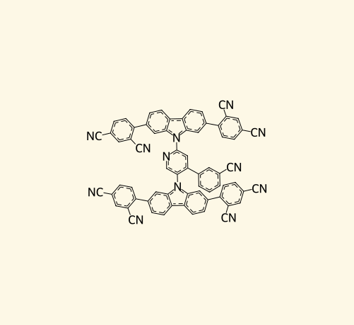 N#Cc1cccc(-c2cc(-n3c4cc(-c5ccc(C#N)cc5C#N)ccc4c4ccc(-c5ccc(C#N)cc5C#N)cc43)ncc2-n2c3cc(-c4ccc(C#N)cc4C#N)ccc3c3ccc(-c4ccc(C#N)cc4C#N)cc32)c1